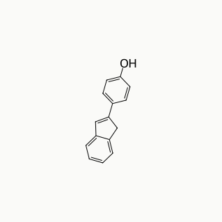 Oc1ccc(C2=Cc3ccccc3C2)cc1